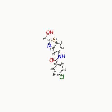 O=C(Nc1ccc2sc(CO)nc2c1)c1ccc(Cl)cc1